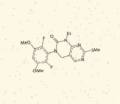 CCN1C(=O)N(c2c(F)c(OC)cc(OC)c2F)Cc2cnc(SC)nc21